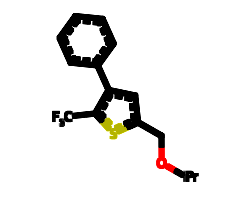 CC(C)OCc1cc(-c2ccccc2)c(C(F)(F)F)s1